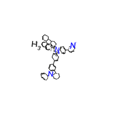 CC1(C)C2=CC(N(C3=CCC(c4ccc5c(c4)c4c(n5C5C=CC=CC5)CCCC4)CC3)c3ccc(C4C=CC=NC4)cc3)CCC2C2CCC=CC21